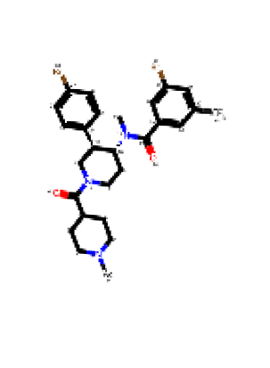 CC(=O)N1CCC(C(=O)N2CC[C@@H](N(C)C(=O)c3cc(Br)cc(C(F)(F)F)c3)[C@H](c3ccc(Br)cc3)C2)CC1